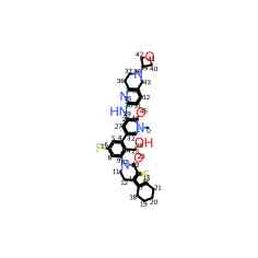 Cn1cc(-c2cc(F)cc(N3CCc4c(sc5c4CCCC5)C3=O)c2CO)cc(Nc2ccc3c(n2)CCN(C2COC2)C3)c1=O